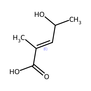 C/C(=C\C(C)O)C(=O)O